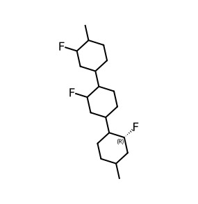 CC1CCC(C2CCC(C3CCC(C)C(F)C3)C(F)C2)[C@H](F)C1